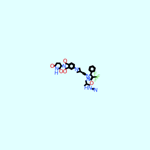 CC(CN1C=C(C(F)(F)F)C(c2ccccc2)N1C#CC1CN(c2ccc3c(c2)C(=O)N(C2CCC(=O)NC2=O)C3=O)C1)C(=O)NC#N